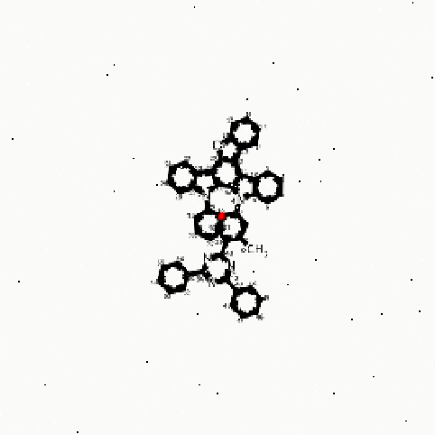 Cc1cc(-n2c3ccccc3c3c4c5ccccc5oc4c4c5ccccc5n(-c5ccccc5)c4c32)ccc1-c1nc(-c2ccccc2)nc(-c2ccccc2)n1